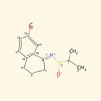 CC(C)[S+]([O-])/N=C1\CCCc2ccc(Br)cc21